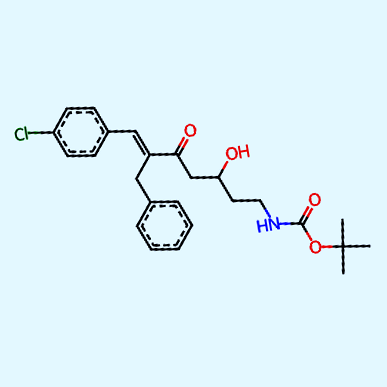 CC(C)(C)OC(=O)NCCC(O)CC(=O)/C(=C/c1ccc(Cl)cc1)Cc1ccccc1